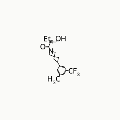 CC[C@H](CO)C(=O)N1CC2(CC(c3cc(C)cc(C(F)(F)F)c3)C2)C1